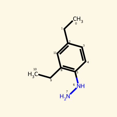 CCc1ccc(NN)c(CC)c1